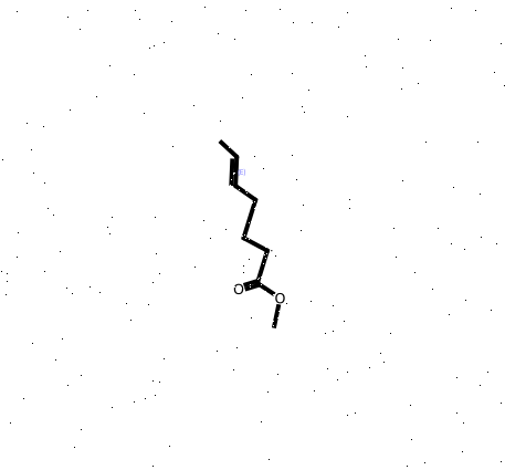 C/C=C/CC[CH]C(=O)OC